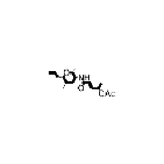 C=CC[C@@H]1O[C@H](C)[C@H](NC(=O)/C=C/[C@H](C)OC(C)=O)C[C@@H]1C